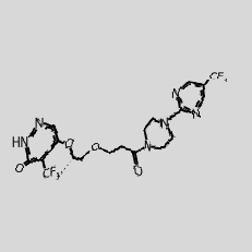 C[C@@H](COCCC(=O)N1CCN(c2ncc(C(F)(F)F)cn2)CC1)Oc1cn[nH]c(=O)c1C(F)(F)F